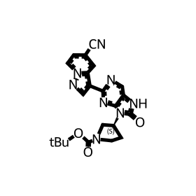 CC(C)(C)OC(=O)N1CC[C@H](n2c(=O)[nH]c3cnc(-c4cnn5ccc(C#N)cc45)nc32)C1